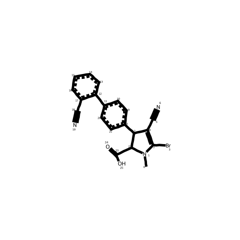 CN1C(Br)=C(C#N)C(c2ccc(-c3ccccc3C#N)cc2)C1C(=O)O